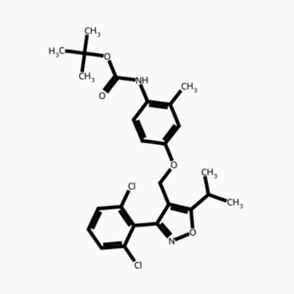 Cc1cc(OCc2c(-c3c(Cl)cccc3Cl)noc2C(C)C)ccc1NC(=O)OC(C)(C)C